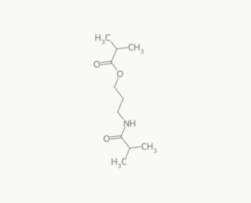 CC(C)C(=O)NCCCOC(=O)C(C)C